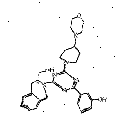 OC[C@H]1Cc2ccccc2CN1c1nc(-c2cccc(O)c2)nc(N2CCC(N3CCOCC3)CC2)n1